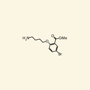 COC(=O)c1cc(Br)ccc1OCCCCN